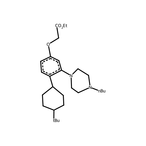 CCCCN1CCN(c2cc(OCC(=O)OCC)ccc2C2CCC(C(C)(C)C)CC2)CC1